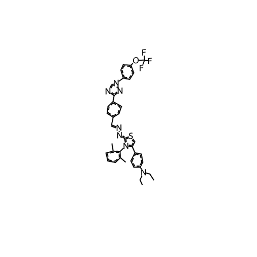 CCN(CC)c1ccc(-c2csc(=NN=Cc3ccc(-c4ncn(-c5ccc(OC(F)(F)F)cc5)n4)cc3)n2-c2c(C)cccc2C)cc1